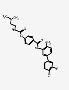 CN(C)CCNC(=O)Oc1ccc(C(=O)Nc2cc(-c3ccc(Cl)c(F)c3)ccc2N)cc1